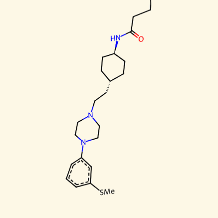 CSc1cccc(N2CCN(CC[C@H]3CC[C@H](NC(=O)CCC#N)CC3)CC2)c1